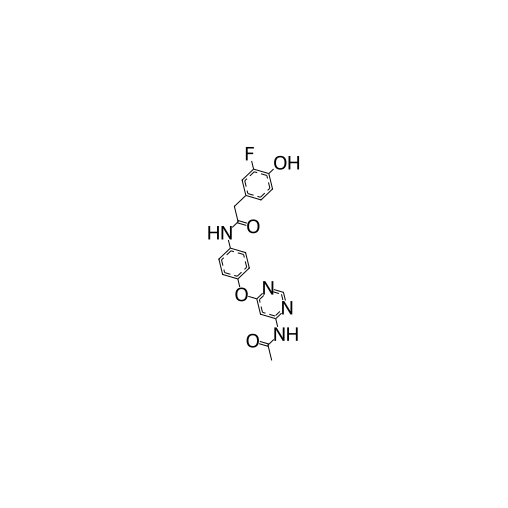 CC(=O)Nc1cc(Oc2ccc(NC(=O)Cc3ccc(O)c(F)c3)cc2)ncn1